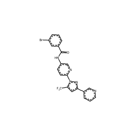 O=C(Nc1ccc(-n2nc(-c3cccnc3)cc2C(F)(F)F)nc1)c1cccc(Br)c1